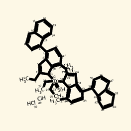 CCC1=Cc2c(-c3cccc4ccccc34)ccc(C)c2[CH]1[Zr](=[SiH2])([CH2]C)([CH2]C)[CH]1C(C)=Cc2c(-c3cccc4ccccc34)ccc(C)c21.Cl.Cl